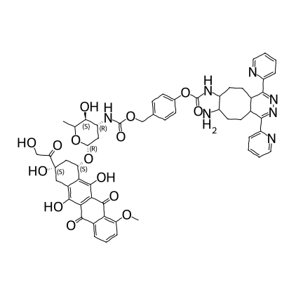 COc1cccc2c1C(=O)c1c(O)c3c(c(O)c1C2=O)C[C@@](O)(C(=O)CO)C[C@@H]3O[C@H]1C[C@@H](NC(=O)OCc2ccc(OC(=O)NC3CCC4C(c5ccccn5)=NN=C(c5ccccn5)C4CCC3N)cc2)[C@H](O)C(C)O1